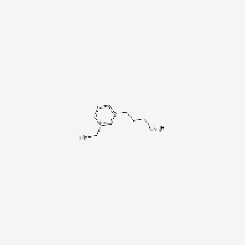 CC(C)Cc1cccc(CCCC(=O)O)c1